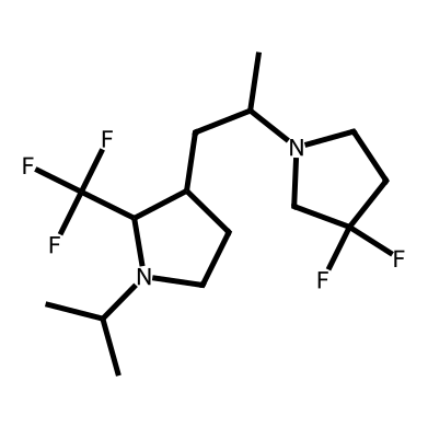 CC(CC1CCN(C(C)C)C1C(F)(F)F)N1CCC(F)(F)C1